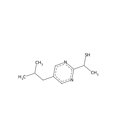 CC(C)Cc1cnc(C(C)S)nc1